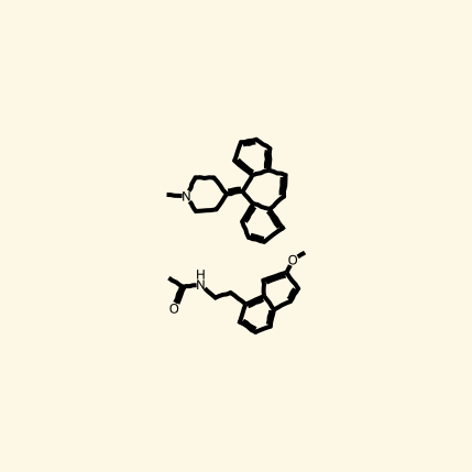 CN1CCC(=C2c3ccccc3C=Cc3ccccc32)CC1.COc1ccc2cccc(CCNC(C)=O)c2c1